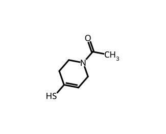 CC(=O)N1CC=C(S)CC1